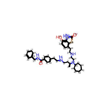 C=C(CCNCCc1ccc(C(=O)NCc2ccccc2)cc1)N(CCNCCc1ccc(O)c2[nH]c(=O)sc12)C1CCCCCC1